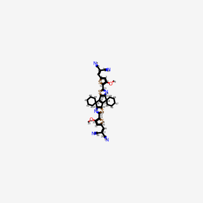 COc1cc(C=C(C#N)C#N)sc1-c1nc2c(s1)C1=C(c3sc(-c4sc(C=C(C#N)C#N)cc4OC)nc3C13CCCCC3)C21CCCCC1